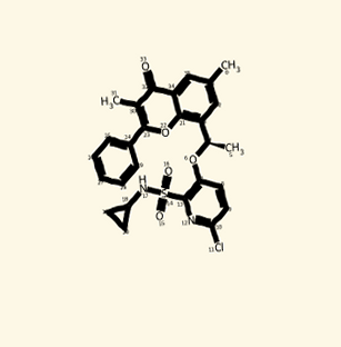 Cc1cc([C@@H](C)Oc2ccc(Cl)nc2S(=O)(=O)NC2CC2)c2oc(-c3ccccc3)c(C)c(=O)c2c1